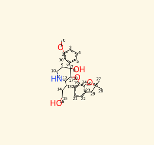 COc1cccc(C2(O)CCNC(CCCO)C2Oc2cccc3c2OC(C)(C)C3)c1